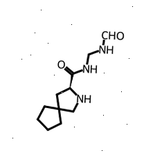 O=CNCNC(=O)[C@@H]1CC2(CCCC2)CN1